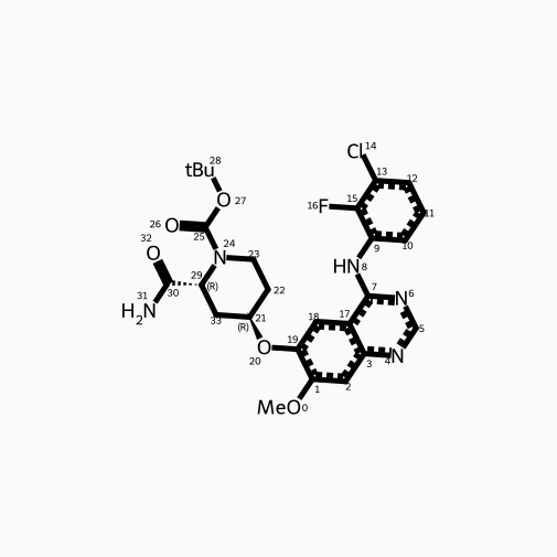 COc1cc2ncnc(Nc3cccc(Cl)c3F)c2cc1O[C@@H]1CCN(C(=O)OC(C)(C)C)[C@@H](C(N)=O)C1